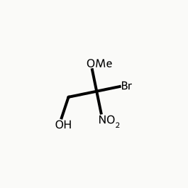 COC(Br)(CO)[N+](=O)[O-]